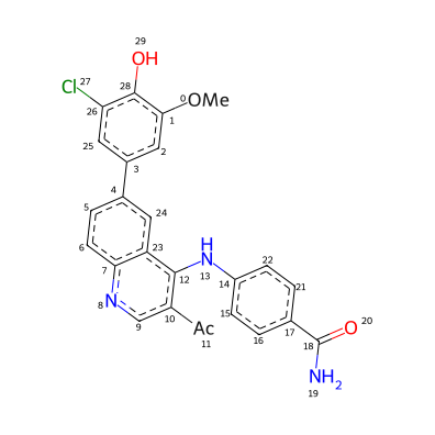 COc1cc(-c2ccc3ncc(C(C)=O)c(Nc4ccc(C(N)=O)cc4)c3c2)cc(Cl)c1O